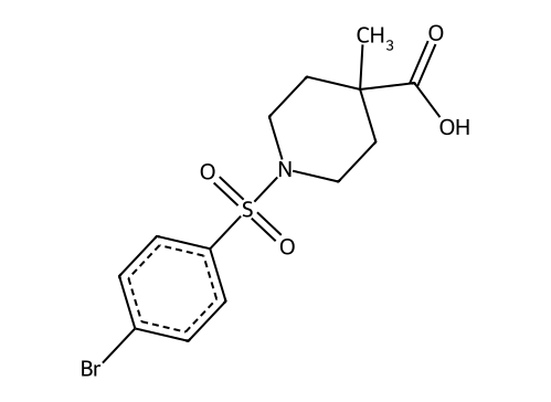 CC1(C(=O)O)CCN(S(=O)(=O)c2ccc(Br)cc2)CC1